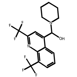 OC(c1cc(C(F)(F)F)nc2c(C(F)(F)F)cccc12)N1CCCCC1